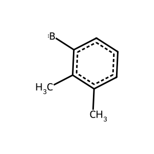 [B]c1cccc(C)c1C